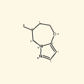 CC1CCOc2ccnn2C1